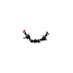 CN(C)CCCOc1c(Br)cc(CCn2cc(-c3ccc(-c4cn(CCc5cc(Br)c(OCCCN(C)C)c(Br)c5)nn4)cc3)nn2)cc1Br